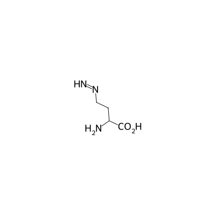 N=NCCC(N)C(=O)O